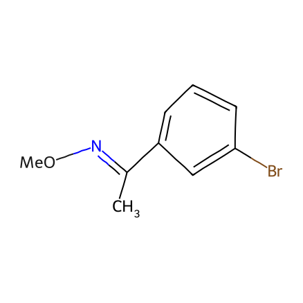 CO/N=C(\C)c1cccc(Br)c1